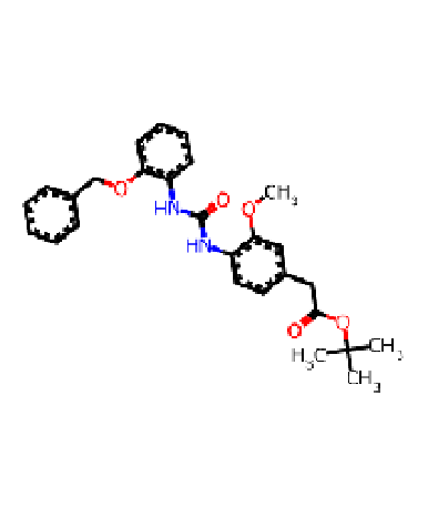 COc1cc(CC(=O)OC(C)(C)C)ccc1NC(=O)Nc1ccccc1OCc1ccccc1